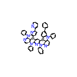 c1ccc(-c2ccc3c(c2)N(c2ccccc2)c2ccnc4c2B3c2cc3c(nc2N4c2ccccc2)N(c2ccccc2)c2ccnc4c2B3c2ccc(-c3ccccn3)nc2N4c2ccccc2)cc1